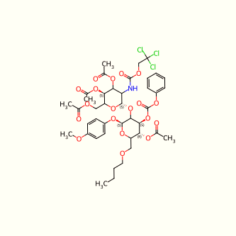 CCCCOCC1O[C@@H](Oc2ccc(OC)cc2)C(O[C@@H]2OC(COC(C)=O)[C@@H](OC(C)=O)C(OC(C)=O)C2NC(=O)OCC(Cl)(Cl)Cl)[C@@H](OC(=O)Oc2ccccc2)[C@@H]1OC(C)=O